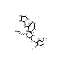 Cc1ccc(F)c(CN(CCC(=O)O)Cc2cccc(SC3CCCC3)c2)c1